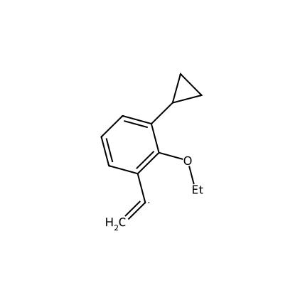 C=[C]c1cccc(C2CC2)c1OCC